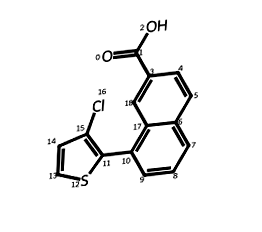 O=C(O)c1ccc2cccc(-c3sccc3Cl)c2c1